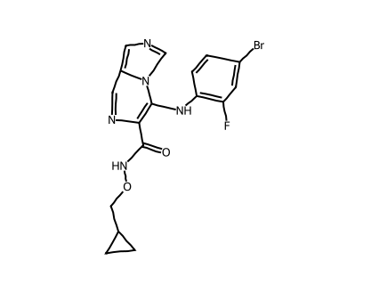 O=C(NOCC1CC1)c1ncc2cncn2c1Nc1ccc(Br)cc1F